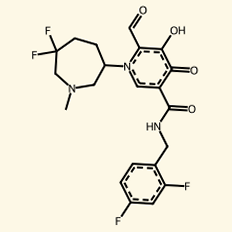 CN1CC(n2cc(C(=O)NCc3ccc(F)cc3F)c(=O)c(O)c2C=O)CCC(F)(F)C1